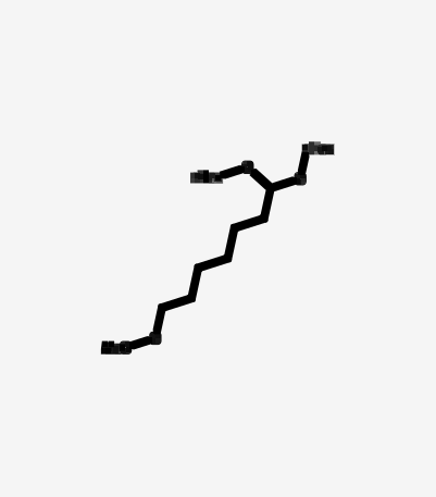 CCCCCCOC(CCCCCCOOC)OCCCCCC